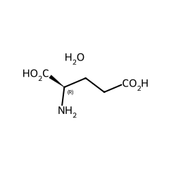 N[C@H](CCC(=O)O)C(=O)O.O